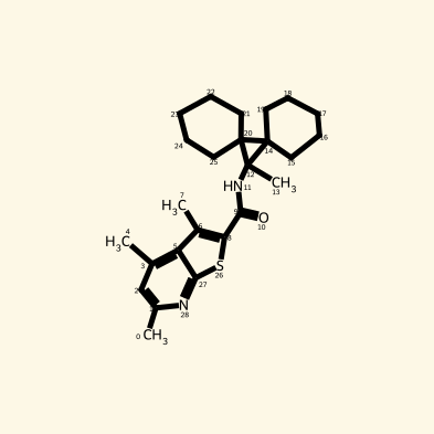 Cc1cc(C)c2c(C)c(C(=O)NC3(C)C4(CCCCC4)C34CCCCC4)sc2n1